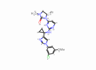 COc1cc(Cl)cc(-n2cnc(C3(Nc4nccc(N5C(=O)N(C)C[C@@H]5C(C)C)n4)CC3)c2)c1